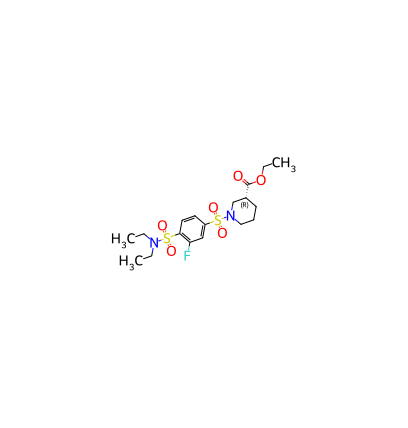 CCOC(=O)[C@@H]1CCCN(S(=O)(=O)c2ccc(S(=O)(=O)N(CC)CC)c(F)c2)C1